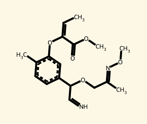 CC=C(Oc1cc(C(C=N)OCC(C)=NOC)ccc1C)C(=O)OC